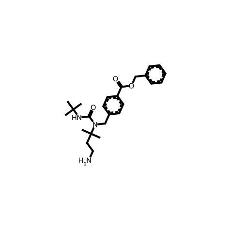 CC(C)(C)NC(=O)N(Cc1ccc(C(=O)OCc2ccccc2)cc1)C(C)(C)CCN